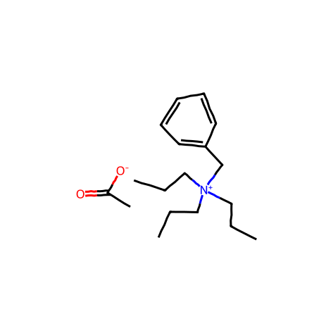 CC(=O)[O-].CCC[N+](CCC)(CCC)Cc1ccccc1